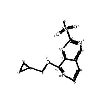 CS(=O)(=O)c1ncc2ccnc(OCC3CC3)c2n1